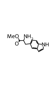 COC(=O)C(N)Cc1ccc2[nH]ccc2c1